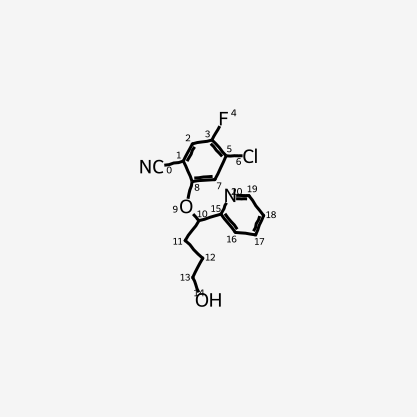 N#Cc1cc(F)c(Cl)cc1OC(CCCO)c1ccccn1